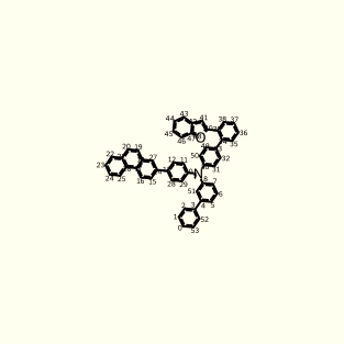 c1ccc(-c2cccc(N(c3ccc(-c4ccc5c(ccc6ccccc65)c4)cc3)c3ccc(-c4ccccc4-c4cc5ccccc5o4)cc3)c2)cc1